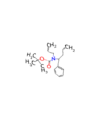 C=CCC(c1ccccc1)N(CC=C)C(=O)OC(C)(C)C